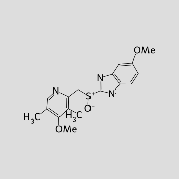 COc1ccc2c(c1)N=C([S+]([O-])Cc1ncc(C)c(OC)c1C)[N]2